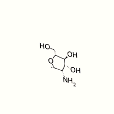 N[C@@H]1[CH]O[C@H](CO)[C@@H](O)[C@@H]1O